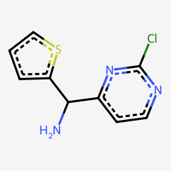 NC(c1ccnc(Cl)n1)c1cccs1